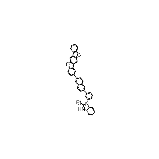 CCC1NC2C=CC=CC2N1c1cccc(-c2ccc3cc(-c4ccc5oc6cc7c(cc6c5c4)oc4ccccc47)ccc3c2)c1